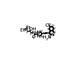 CCN(CC)CC(O)CNC(=O)c1ncc(C#Cc2c(N)ncc3ccc(Cl)cc23)cn1